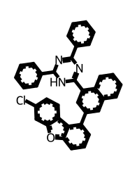 Clc1ccc2c(c1)oc1cccc(-c3cc(C4=NC(c5ccccc5)=NC(c5ccccc5)N4)c4ccccc4c3)c12